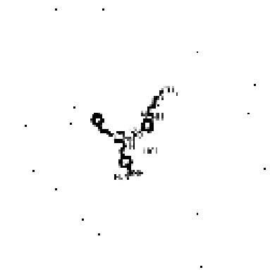 CCOCCCc1nc2cc(OC(=O)NN3CCN(CC=Cc4ccccc4)CC3CCc3ccc(C(=N)N)cc3)ccc2[nH]1.Cl